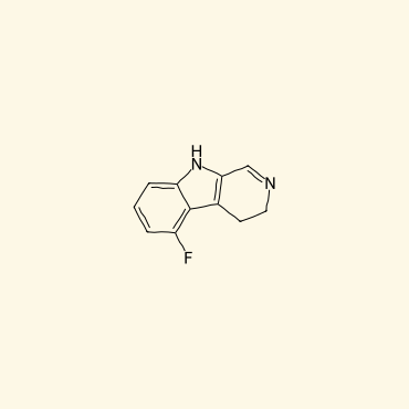 Fc1cccc2[nH]c3c(c12)CCN=C3